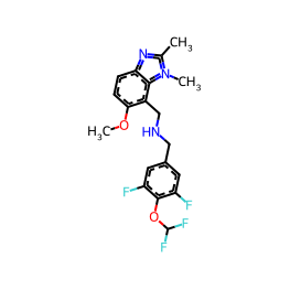 COc1ccc2nc(C)n(C)c2c1CNCc1cc(F)c(OC(F)F)c(F)c1